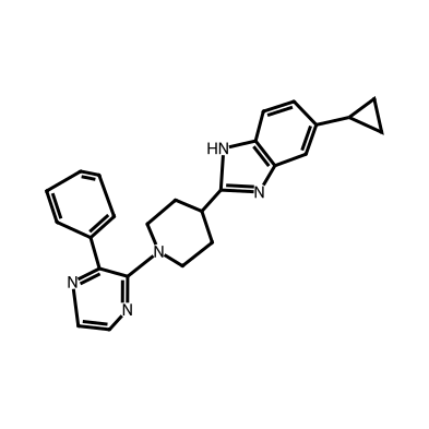 c1ccc(-c2nccnc2N2CCC(c3nc4cc(C5CC5)ccc4[nH]3)CC2)cc1